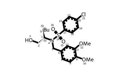 CC[C@H](C)[C@@H](CO)N(Cc1ccc(OC)c(OC)c1)S(=O)(=O)c1ccc(Cl)cc1